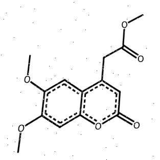 COC(=O)Cc1cc(=O)oc2cc(OC)c(OC)cc12